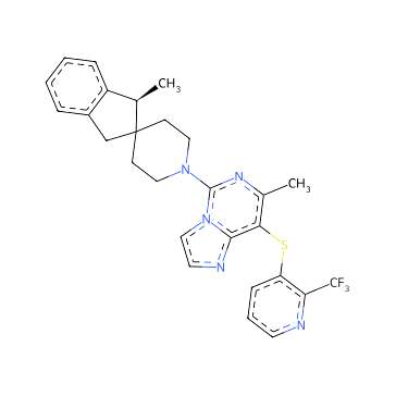 Cc1nc(N2CCC3(CC2)Cc2ccccc2[C@H]3C)n2ccnc2c1Sc1cccnc1C(F)(F)F